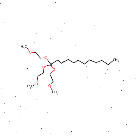 CCCCCCCCCCC[Si](OCCOC)(OCCOC)OCCOC